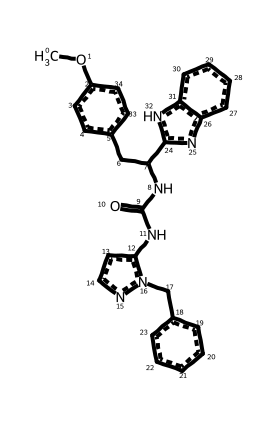 COc1ccc(CC(NC(=O)Nc2ccnn2Cc2ccccc2)c2nc3ccccc3[nH]2)cc1